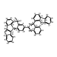 CC1(C)c2cc(-c3nc(-c4cccc5c4oc4ccccc45)c4ccccc4n3)ccc2-n2c3c1cccc3c1sc3ccccc3c12